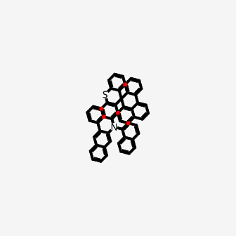 c1ccc(-c2cc3ccccc3cc2N(c2ccc3c(c2)C2(c4ccccc4S3)c3ccccc3-c3cccc4cccc2c34)c2cccc3ccccc23)cc1